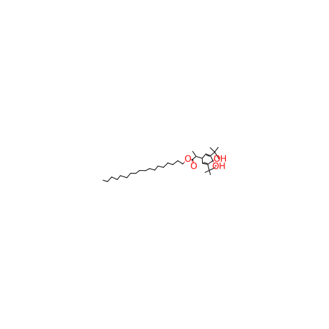 CCCCCCCCCCCCCCCCCCOC(=O)C(C)C1C=C(C(C)(C)C)C(O)(O)C(C(C)(C)C)=C1